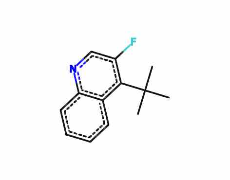 CC(C)(C)c1c(F)cnc2ccccc12